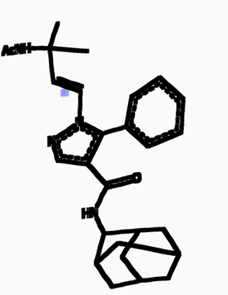 CC(=O)NC(C)(C)/C=C/n1ncc(C(=O)NC2C3CC4CC(C3)CC2C4)c1-c1ccccc1